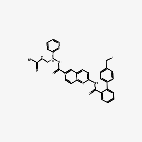 CCC(=O)NC[C@@H](NC(=O)c1ccc2nc(NC(=O)c3ccccc3-c3ccc(CF)cc3)ccc2c1)c1ccccc1